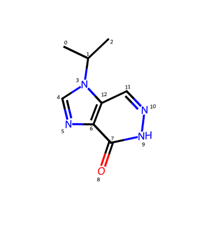 CC(C)n1cnc2c(=O)[nH]ncc21